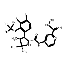 [2H]C([2H])([2H])Oc1c([C@H]2[C@H](C(=O)Nc3ccnc(C(=N)NO)c3)N[C@@](C)(C(F)(F)F)[C@H]2C)ccc(F)c1F